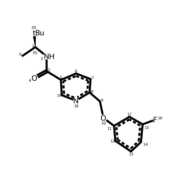 C[C@H](NC(=O)c1ccc(COc2cccc(F)c2)nc1)C(C)(C)C